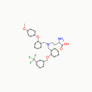 COc1ccc(Oc2ccccc2CN(CCC(N)C(=O)O)Cc2ccccc2OCc2cccc(C(F)(F)F)c2)cc1